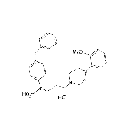 COc1ccccc1N1CCN(CCCN(C(=O)O)c2ccc(Cc3ccccc3)cc2)CC1.Cl